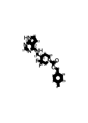 Cc1ccc(COC(=O)N2CC[C@H](CNc3ncnc4[nH]ccc34)C(F)(F)C2)cc1